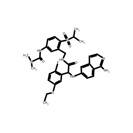 CCOc1ccc(F)c(C(Nc2ccc3c(N)nccc3c2)C(=O)NCc2cc(NC(=O)N(C)C)ccc2S(=O)(=O)C(C)C)c1